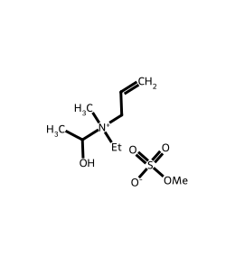 C=CC[N+](C)(CC)C(C)O.COS(=O)(=O)[O-]